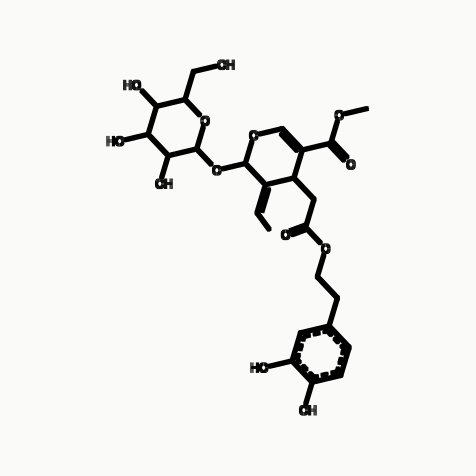 C/C=C1/C(OC2OC(CO)C(O)C(O)C2O)OC=C(C(=O)OC)C1CC(=O)OCCc1ccc(O)c(O)c1